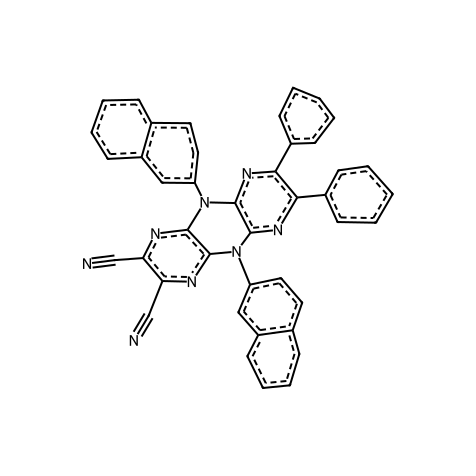 N#Cc1nc2c(nc1C#N)N(c1ccc3ccccc3c1)c1nc(-c3ccccc3)c(-c3ccccc3)nc1N2c1ccc2ccccc2c1